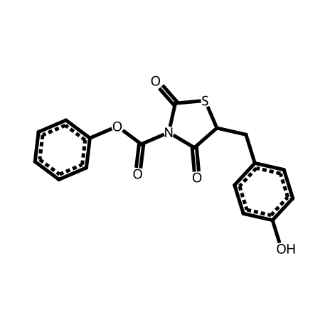 O=C(Oc1ccccc1)N1C(=O)SC(Cc2ccc(O)cc2)C1=O